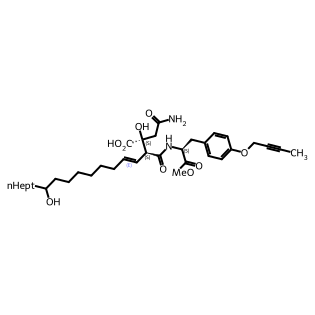 CC#CCOc1ccc(C[C@H](NC(=O)[C@@H](/C=C/CCCCCCC(O)CCCCCCC)[C@@](O)(CC(N)=O)C(=O)O)C(=O)OC)cc1